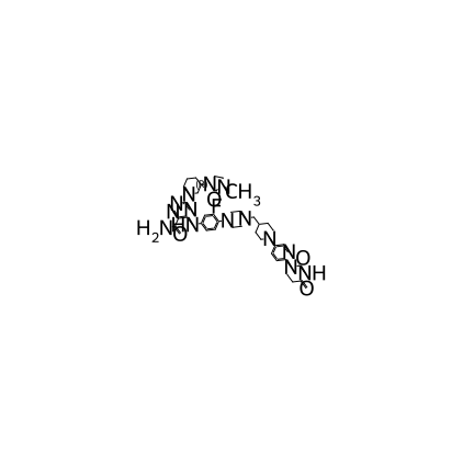 CN1CCN([C@@H]2CCCN(c3nnc(C(N)=O)c(Nc4ccc(N5CCN(CC6CCN(c7ccc(N8CCC(=O)NC8=O)nc7)CC6)CC5)c(F)c4)n3)C2)C1=O